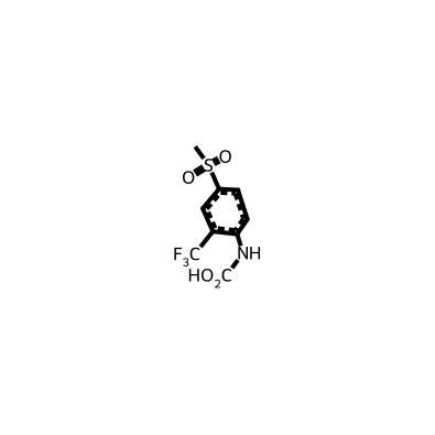 CS(=O)(=O)c1ccc(NC(=O)O)c(C(F)(F)F)c1